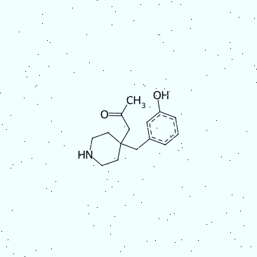 CC(=O)CC1(Cc2cccc(O)c2)CCNCC1